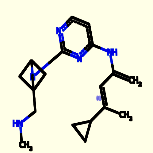 C=C(/C=C(\C)C1CC1)Nc1ccnc(N2CC3(CNC)CC2C3)n1